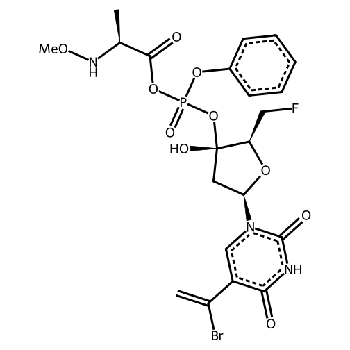 C=C(Br)c1cn([C@H]2C[C@](O)(OP(=O)(OC(=O)[C@H](C)NOC)Oc3ccccc3)[C@@H](CF)O2)c(=O)[nH]c1=O